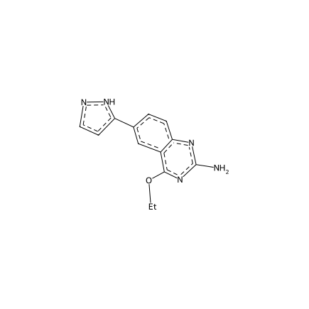 CCOc1nc(N)nc2ccc(-c3ccn[nH]3)cc12